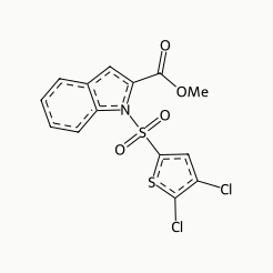 COC(=O)c1cc2ccccc2n1S(=O)(=O)c1cc(Cl)c(Cl)s1